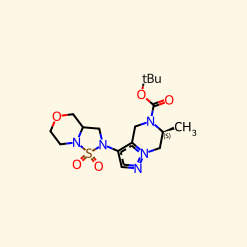 C[C@H]1Cn2ncc(N3CC4COCCN4S3(=O)=O)c2CN1C(=O)OC(C)(C)C